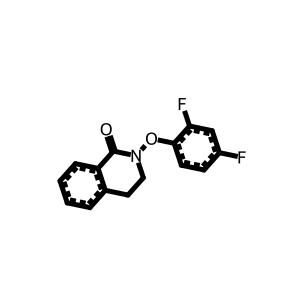 O=C1c2ccccc2CCN1Oc1ccc(F)cc1F